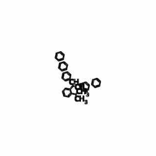 CC(C)c1ccccc1C(C)C.c1ccccc1.c1ccccc1.c1ccccc1.c1ccccc1.c1ccccc1